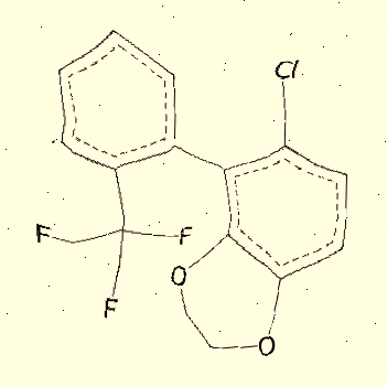 FC(F)(F)c1[c]cccc1-c1c(Cl)ccc2c1OCO2